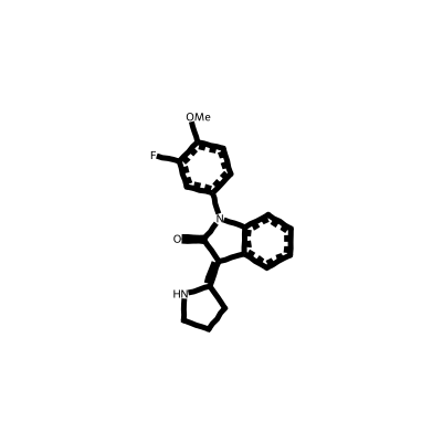 COc1ccc(N2C(=O)C(=C3CCCN3)c3ccccc32)cc1F